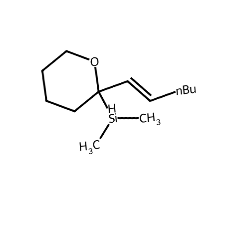 CCCCC=CC1([SiH](C)C)CCCCO1